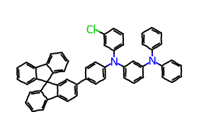 Clc1cccc(N(c2ccc(-c3ccc4c(c3)C3(c5ccccc5-c5ccccc53)c3ccccc3-4)cc2)c2cccc(N(c3ccccc3)c3ccccc3)c2)c1